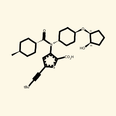 CC(C)(C)C#Cc1cc(N(C(=O)[C@H]2CC[C@H](C)CC2)[C@H]2CC[C@H](O[C@H]3CCC[C@H]3O)CC2)c(C(=O)O)s1